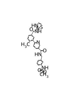 Cc1ccc(C(=O)NN2NC=CS2)cc1-c1ccc(C(=O)NCc2cccc(NS(C)(=O)=O)c2)cn1